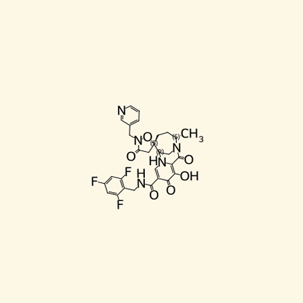 C[C@H]1CC[C@]2(CC(=O)N(Cc3cccnc3)O2)[C@H]2CN1C(=O)c1c(O)c(=O)c(C(=O)NCc3c(F)cc(F)cc3F)cn12